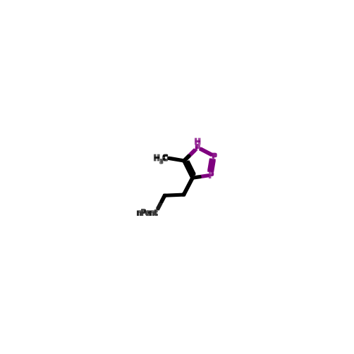 CCCCCCCc1pp[pH]c1C